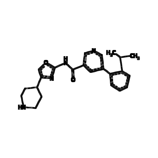 CC(C)c1ccccc1-c1cncc(C(=O)Nc2nc(C3CCNCC3)co2)c1